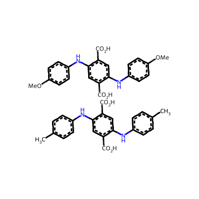 COc1ccc(Nc2cc(C(=O)O)c(Nc3ccc(OC)cc3)cc2C(=O)O)cc1.Cc1ccc(Nc2cc(C(=O)O)c(Nc3ccc(C)cc3)cc2C(=O)O)cc1